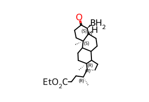 B[C@@H]1C(=O)CC[C@]2(C)C3CC[C@@]4(C)C(CC[C@@H]4[C@H](C)CCC(=O)OCC)C3CC[C@H]12